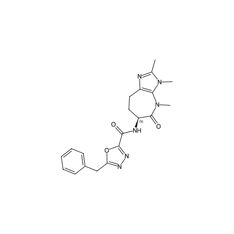 Cc1nc2c(n1C)N(C)C(=O)[C@@H](NC(=O)c1nnc(Cc3ccccc3)o1)CC2